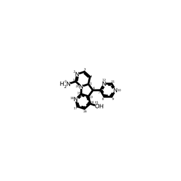 NC1=NC=CC2C(c3ccncn3)c3c(O)ccnc3N12